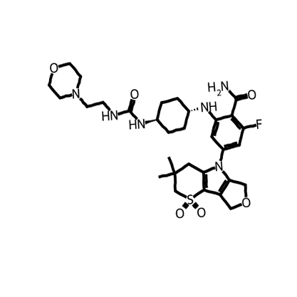 CC1(C)Cc2c(c3c(n2-c2cc(F)c(C(N)=O)c(N[C@H]4CC[C@H](NC(=O)NCCN5CCOCC5)CC4)c2)COC3)S(=O)(=O)C1